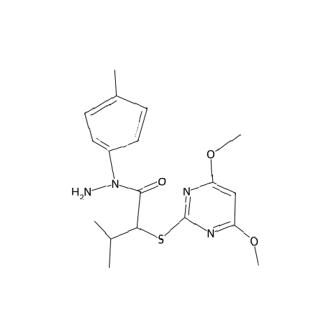 COc1cc(OC)nc(SC(C(=O)N(N)c2ccc(C)cc2)C(C)C)n1